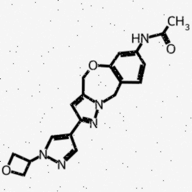 CC(=O)Nc1ccc2c(c1)OCc1cc(-c3cnn(C4COC4)c3)nn1C2